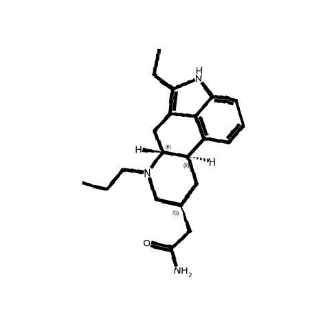 CCCN1C[C@H](CC(N)=O)C[C@@H]2c3cccc4[nH]c(CC)c(c34)C[C@H]21